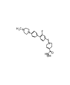 CN1CCN(c2ccc(-c3ccc(SN4CC=C(C(=O)NO)CC4)cc3F)cc2)CC1